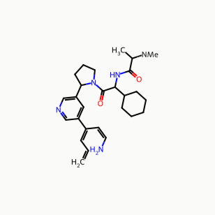 C=C/C=C(\C=C/N)c1cncc(C2CCCN2C(=O)C(NC(=O)C(C)NC)C2CCCCC2)c1